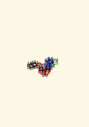 CC1(C)O[C@@H]2[C@H](O1)[C@@H](COc1ccc3ccccc3c1)O[C@H]2n1ccc2c(Cl)ncnc21